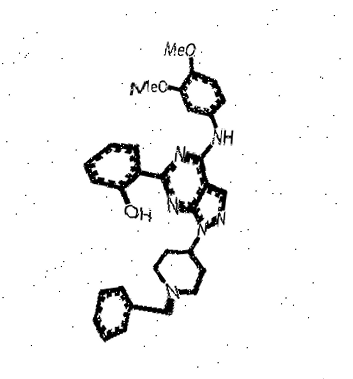 COc1ccc(Nc2nc(-c3ccccc3O)nc3c2cnn3C2CCN(Cc3ccccc3)CC2)cc1OC